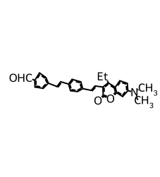 CCc1c(/C=C/c2ccc(/C=C/c3ccc(C=O)cc3)cc2)c(=O)oc2cc(N(C)C)ccc12